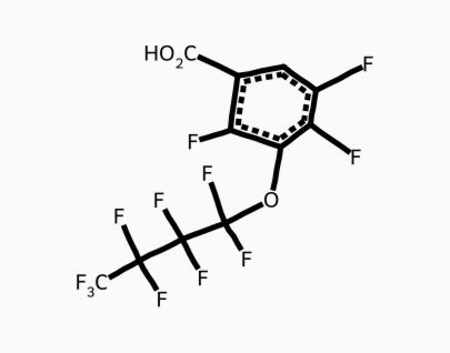 O=C(O)c1cc(F)c(F)c(OC(F)(F)C(F)(F)C(F)(F)C(F)(F)F)c1F